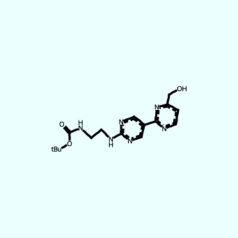 CC(C)(C)OC(=O)NCCNc1ncc(-c2nccc(CO)n2)cn1